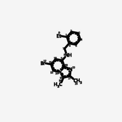 CCc1ccccc1CNc1cc(Br)cn2c(C)c(C)nc12